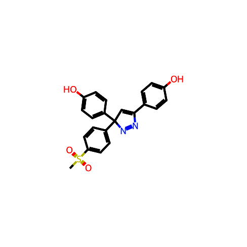 CS(=O)(=O)c1ccc(C2(c3ccc(O)cc3)C=C(c3ccc(O)cc3)N=N2)cc1